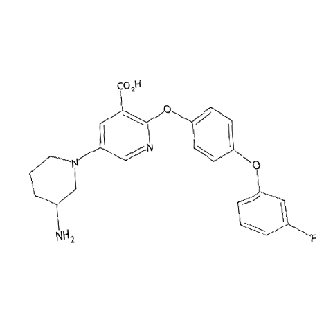 NC1CCCN(c2cnc(Oc3ccc(Oc4cccc(F)c4)cc3)c(C(=O)O)c2)C1